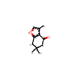 Cc1coc2c1C(=O)CC(C)(C)C2